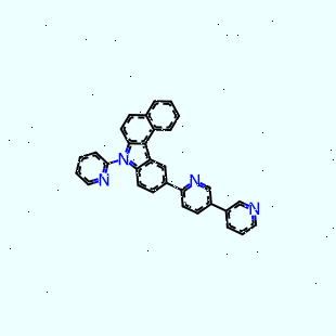 c1ccc(-n2c3ccc(-c4ccc(-c5cccnc5)cn4)cc3c3c4ccccc4ccc32)nc1